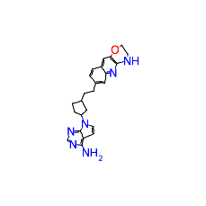 Nc1ncnc2c1ccn2C1CCC(CCc2ccc3cc4c(nc3c2)NCCO4)C1